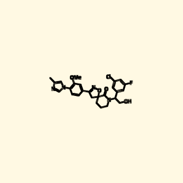 COc1cc(C2=NOC3(CCCN(C(CO)c4cc(F)cc(Cl)c4)C3=O)C2)ccc1-n1cnc(C)c1